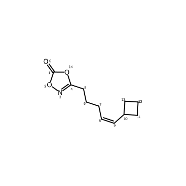 O=c1onc(CCC/C=C\C2CCC2)o1